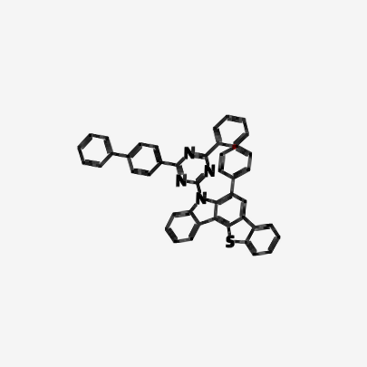 c1ccc(-c2ccc(-c3nc(-c4ccccc4)nc(-n4c5ccccc5c5c6sc7ccccc7c6cc(-c6ccccc6)c54)n3)cc2)cc1